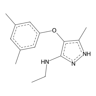 CCNc1n[nH]c(C)c1Oc1cc(C)cc(C)c1